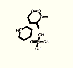 C1CCPCC1.CC1CCOOP1C.O=P(O)(O)O